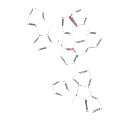 Cc1ccc(N(c2ccc(-c3ccc4c(c3)C(C)(c3ccccc3)c3ccccc3-4)cc2)c2cccc3c2sc2ccccc23)c(C2=c3c(-c4ccccc4)cccc3=CCC2)c1